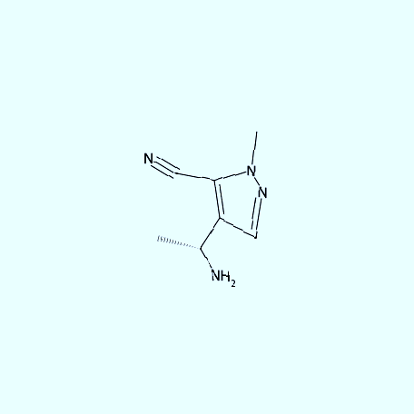 C[C@@H](N)c1cnn(C)c1C#N